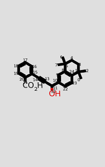 CC1(C)CCC(C)(C)c2cc(C(O)C#Cc3ccccc3C(=O)O)ccc21